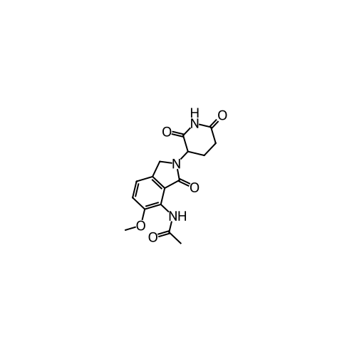 COc1ccc2c(c1NC(C)=O)C(=O)N(C1CCC(=O)NC1=O)C2